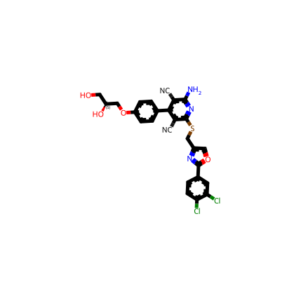 N#Cc1c(N)nc(SCc2coc(-c3ccc(Cl)c(Cl)c3)n2)c(C#N)c1-c1ccc(OC[C@@H](O)CO)cc1